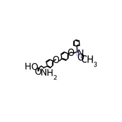 CO/N=C(\COc1ccc(COc2ccc(C(N)CC(=O)O)cc2)cc1)c1ccccc1